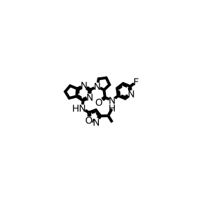 CC(C)c1cc(Nc2nc(N3CCCC3C(=O)Nc3ccc(F)nc3)nc3c2CCC3)on1